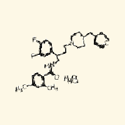 Cc1ccc(C(=O)NCC(CCN2CCC(Cc3ccccc3)CC2)c2ccc(F)c(F)c2)c(C)c1.Cl.O